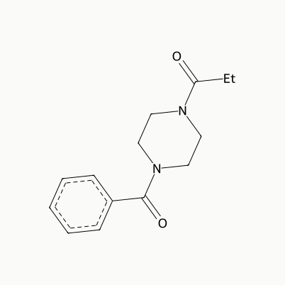 [CH2]CC(=O)N1CCN(C(=O)c2ccccc2)CC1